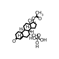 CC(=O)O[C@H]1CC[C@H]2[C@H]3[C@H](CC[C@]12C)[C@H]1CCC(=O)C=C1C[C@H]3C.O=P(O)(O)O